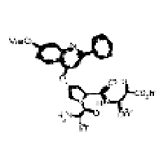 CCCC(NC(=O)[C@@H]1C[C@@H](Oc2cc(-c3ccccc3)nc3cc(OC)ccc23)CN1C(=O)[C@@H](N)C(C)C)C(=O)C(=O)O